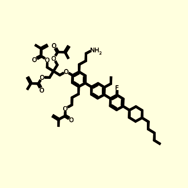 C=C(C)C(=O)OCCCc1cc(OCC(COC(=O)C(=C)C)(COC(=O)C(=C)C)COC(=O)C(=C)C)c(CCCN)cc1-c1ccc(-c2ccc(C3CCC(CCCCC)CC3)cc2F)c(CC)c1